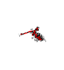 CCCCCCCCCCCCCCCC(=O)NCCCCC(CNc1ccc([N+](=O)[O-])c2nonc12)NC(O)C(=O)NC(C(=O)NC(NC(=N)N)C(=O)NC(NC(=N)N)C(=O)NC(NC(=N)N)C(=O)NC(NC(=N)N)C(=O)NC(N)C(N)=O)c1ccccc1